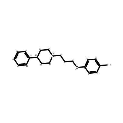 Fc1ccc(OCCCN2CCC(c3ccccc3)CC2)cc1